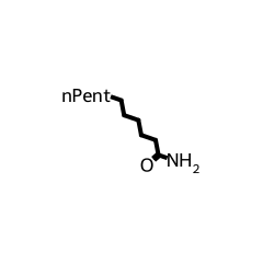 [CH2]CCCCCCCCCC(N)=O